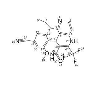 CCCc1nccc2c1C(c1ccc(C#N)cc1OC)C(C(N)=O)=C(C(F)(F)F)N2